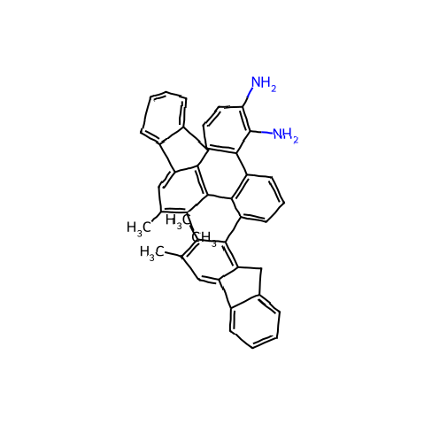 Cc1cc2c(c(-c3cccc(-c4cccc(N)c4N)c3-c3c(C)c(C)cc4c3Cc3ccccc3-4)c1C)Cc1ccccc1-2